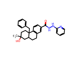 O=C(NNc1ccccn1)c1ccc2c(c1)CCC1CC(O)(C(F)(F)F)CCC21Cc1ccccc1